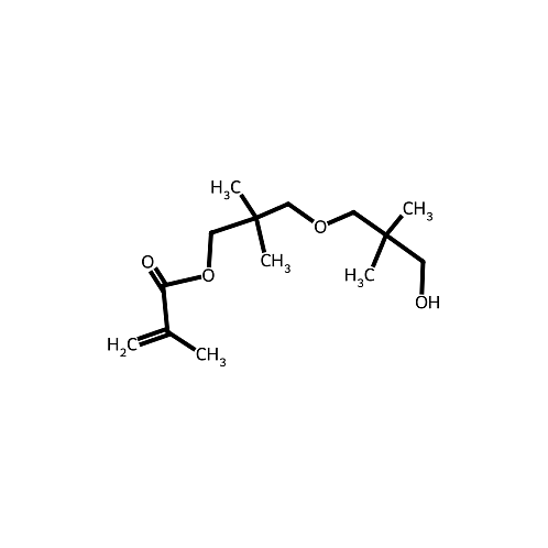 C=C(C)C(=O)OCC(C)(C)COCC(C)(C)CO